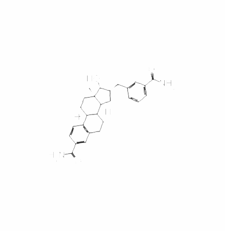 C[C@]12CC[C@@H]3c4ccc(C(N)=O)cc4CCC3[C@@H]1C[C@H](Cc1cccc(C(N)=O)c1)[C@@H]2O